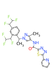 Cc1nn(C(C)c2ccc(C(F)C(F)F)cc2C(F)C(F)F)cc1NC(=O)c1nnc(-c2ccccn2)s1